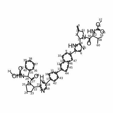 C=C1CC(c2ncc(-c3ccc4cc(-c5ccc(-c6cnc(C7CCCN7C(=O)C(NC(=O)OC)c7ccccc7)[nH]6)cc5)ccc4c3)[nH]2)N(C(=O)C(NC(=O)OC)C(C)C)C1